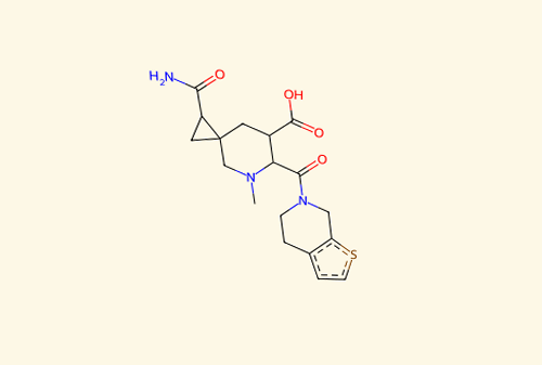 CN1CC2(CC(C(=O)O)C1C(=O)N1CCc3ccsc3C1)CC2C(N)=O